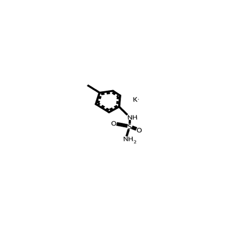 Cc1ccc(NS(N)(=O)=O)cc1.[K]